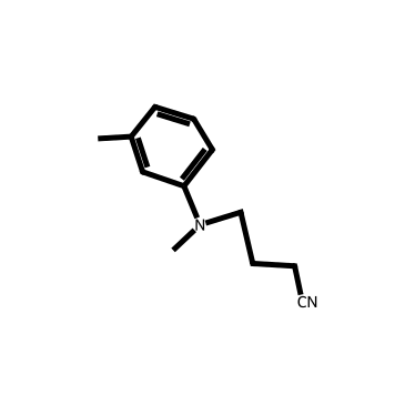 Cc1cccc(N(C)CCCC#N)c1